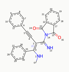 CN/C(=C(/C#Cc1ccccc1)C(=N)N1C(=O)c2ccccc2C1=O)c1ccccc1